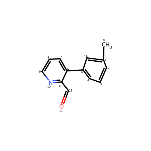 Cc1cccc(-c2cccnc2C=O)c1